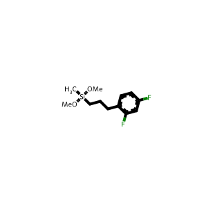 CO[Si](C)(CCCc1ccc(F)cc1F)OC